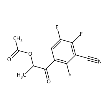 CC(=O)OC(C)C(=O)c1cc(F)c(F)c(C#N)c1F